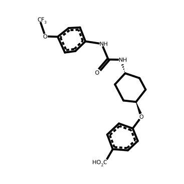 O=C(Nc1ccc(OC(F)(F)F)cc1)N[C@H]1CC[C@H](Oc2ccc(C(=O)O)cc2)CC1